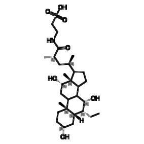 CC[C@H]1[C@@H](O)C2C3CCC([C@H](C)C[C@H](C)C(=O)NCCS(=O)(=O)O)[C@@]3(C)[C@@H](O)CC2[C@@]2(C)CC[C@@H](O)C[C@@H]12